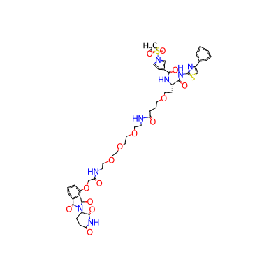 CS(=O)(=O)n1ccc(C(=O)N[C@@H](CCOCCCC(=O)NCCOCCOCCOCCNC(=O)COc2cccc3c2C(=O)N(C2CCC(=O)NC2=O)C3=O)C(=O)Nc2nc(-c3ccccc3)cs2)c1